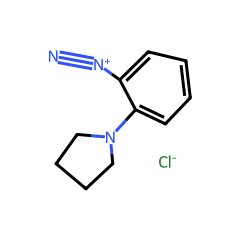 N#[N+]c1ccccc1N1CCCC1.[Cl-]